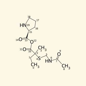 CCC(C)(SCNC(C)=O)C(=O)OC(=O)[C@@H]1CCCN1